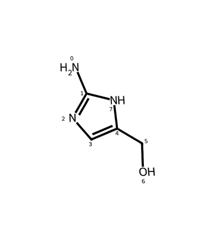 Nc1ncc(CO)[nH]1